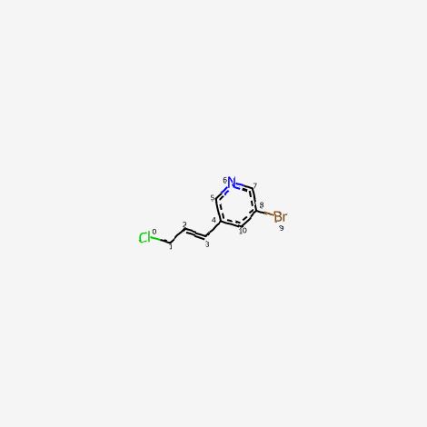 ClCC=Cc1cncc(Br)c1